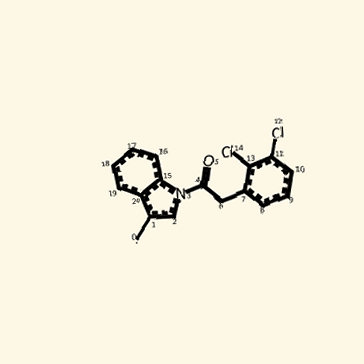 [CH2]c1cn(C(=O)Cc2cccc(Cl)c2Cl)c2ccccc12